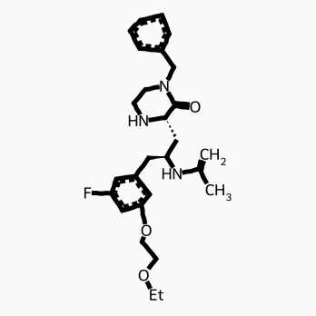 C=C(C)N[C@@H](Cc1cc(F)cc(OCCOCC)c1)C[C@@H]1NCCN(Cc2ccccc2)C1=O